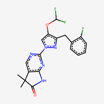 CC1(C)C(=O)Nc2nc(-n3cc(OC(F)F)c(Cc4ccccc4F)n3)ncc21